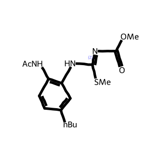 CCCCc1ccc(NC(C)=O)c(N/C(=N/C(=O)OC)SC)c1